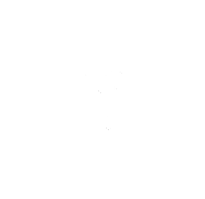 O=[N+]([O-])c1ccc(Nc2ncnc3c2C(O)CC3)cc1